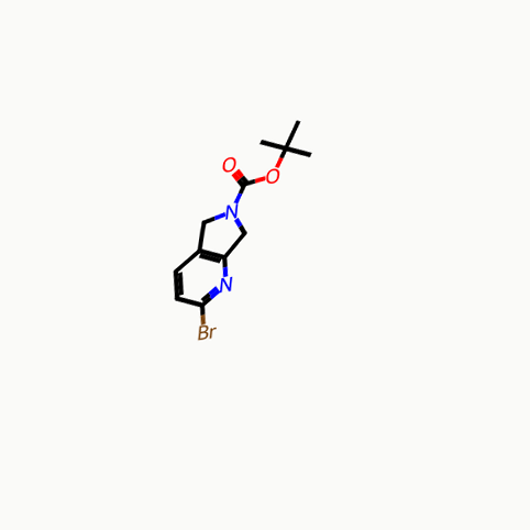 CC(C)(C)OC(=O)N1Cc2ccc(Br)nc2C1